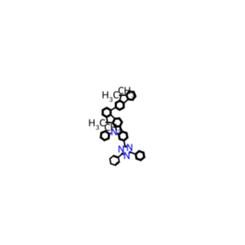 CC1(C)c2ccccc2-c2ccc(-c3cccc4c3-c3ccc5c6ccc(-c7nc(C8=CCCC=C8)nc(-c8ccccc8)n7)cc6n(-c6ccccc6)c5c3C4(C)C)cc21